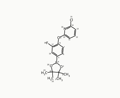 CC1(C)OB(c2ccc(Oc3cccc(Cl)n3)c(F)c2)OC1(C)C